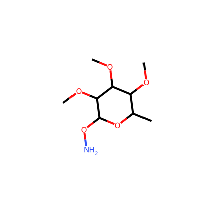 COC1C(C)OC(ON)C(OC)C1OC